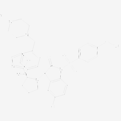 CCOc1ccc(S(=O)(=O)N2C(=O)C(c3cc(CN4CCN(C(C)C)CC4)ccc3OC)(N3CCCC3c3ncco3)c3cc(Cl)ccc32)cc1